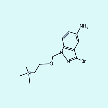 C[Si](C)(C)CCOCn1nc(Br)c2cc(N)ccc21